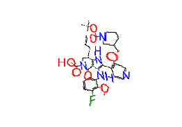 C=CCC1CN(C(=O)O)C(=O)c2c1[nH]c(-c1ccncc1OCC1CCCN(C(=O)OC(C)(C)C)C1)c2Nc1cccc(F)c1OC